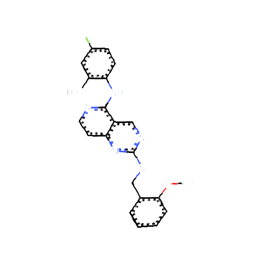 COc1ccccc1CNc1ncc2c(Nc3ccc(F)cc3C)nccc2n1